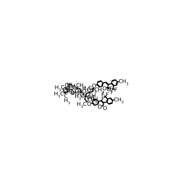 Cc1ccc(-c2cc3ccc(OC(C)(C)CC(C)(C)C(OC(C)(S)CC(C)(C)OC(=O)[PH](C)(CC(C)(C)C)C(C)(C)C)C(C)(C)CC(C)(C)Oc4ccc5cc(-c6ccc(C)cc6C(F)(F)F)c(=O)oc5c4)cc3oc2=O)c(C(F)(F)F)c1